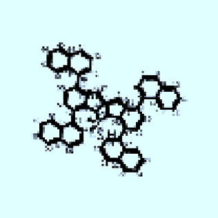 CCCCC1=Cc2c(-c3cccc4ccccc34)ccc(-c3cccc4ccccc34)c2[CH]1[Zr]([CH3])([CH3])(=[SiH2])[CH]1C(CCCC)=Cc2c(-c3cccc4ccccc34)ccc(-c3cccc4ccccc34)c21